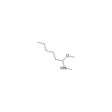 CCCCCC(NC)OC